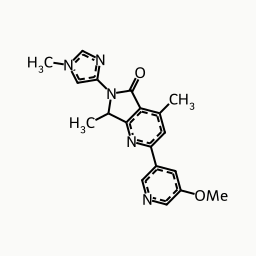 COc1cncc(-c2cc(C)c3c(n2)C(C)N(c2cn(C)cn2)C3=O)c1